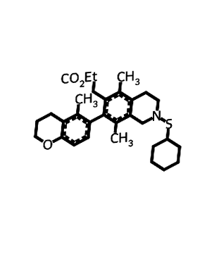 CCOC(=O)Cc1c(C)c2c(c(C)c1-c1ccc3c(c1C)CCCO3)CN(SC1CCCCC1)CC2